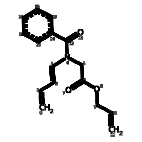 C=CC=CN(CC(=O)OCC=C)C(=O)c1ccccc1